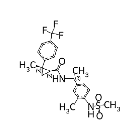 Cc1cc([C@@H](C)NC(=O)[C@H]2C[C@]2(C)c2ccc(C(F)(F)F)cc2)ccc1NS(C)(=O)=O